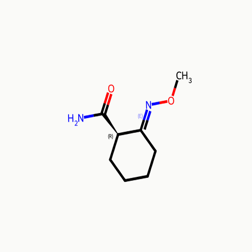 CO/N=C1\CCCC[C@H]1C(N)=O